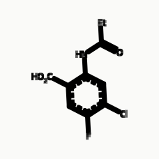 CCC(=O)Nc1cc(Cl)c(F)cc1C(=O)O